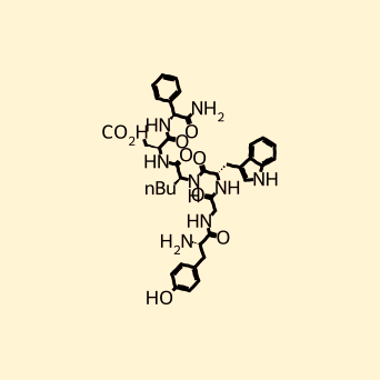 CCCC[C@H](NC(=O)[C@H](Cc1c[nH]c2ccccc12)NC(=O)CNC(=O)[C@@H](N)Cc1ccc(O)cc1)C(=O)N[C@@H](CC(=O)O)C(=O)N[C@H](C(N)=O)c1ccccc1